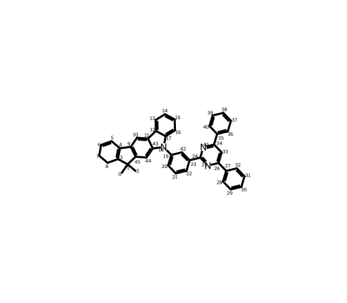 CC1(C)C2=C(C=CCC2)c2cc3c4ccccc4n(-c4cccc(-c5nc(-c6ccccc6)cc(-c6ccccc6)n5)c4)c3cc21